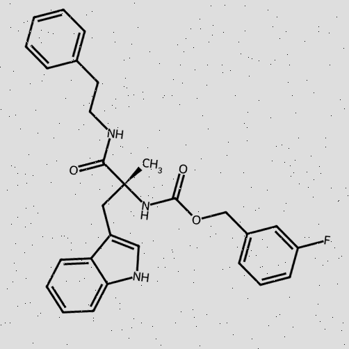 C[C@](Cc1c[nH]c2ccccc12)(NC(=O)OCc1cccc(F)c1)C(=O)NCCc1ccccc1